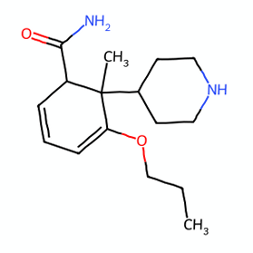 CCCOC1=CC=CC(C(N)=O)C1(C)C1CCNCC1